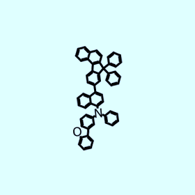 c1ccc(N(c2ccc3oc4ccccc4c3c2)c2ccc(-c3ccc4c(c3)C(c3ccccc3)(c3ccccc3)c3ccc5ccccc5c3-4)c3ccccc23)cc1